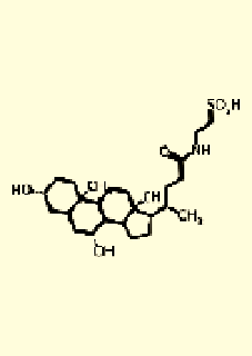 C[C@H](CCC(=O)NCCS(=O)(=O)O)[C@H]1CCC2C3C(CC[C@@]21C)[C@@]1(C)CC[C@@H](O)CC1C[C@H]3O